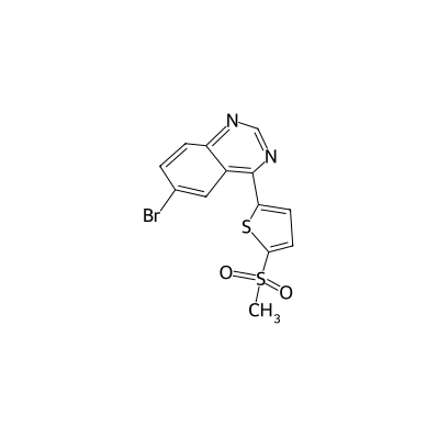 CS(=O)(=O)c1ccc(-c2ncnc3ccc(Br)cc23)s1